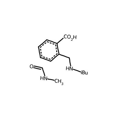 CCC(C)NCc1ccccc1C(=O)O.CNC=O